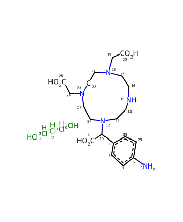 Cl.Cl.Cl.Cl.Cl.Nc1ccc(C(C(=O)O)N2CCNCCN(CC(=O)O)CCN(CC(=O)O)CC2)cc1